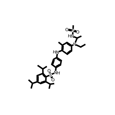 CCN(c1ccc(Nc2ccc(NS(=O)(=O)c3c(C(C)C)cc(C(C)C)cc3C(C)C)cc2)c(C)c1)C(C)NS(C)(=O)=O